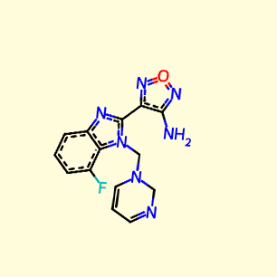 Nc1nonc1-c1nc2cccc(F)c2n1CN1C=CC=NC1